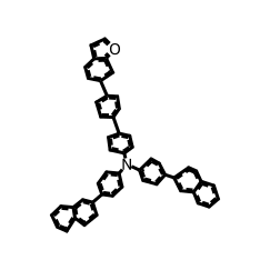 c1ccc2cc(-c3ccc(N(c4ccc(-c5ccc(-c6ccc7ccoc7c6)cc5)cc4)c4ccc(-c5ccc6ccccc6c5)cc4)cc3)ccc2c1